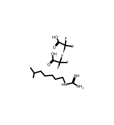 CC(C)CCCCCNC(=N)N.O=C(O)C(F)(F)F.O=C(O)C(F)(F)F